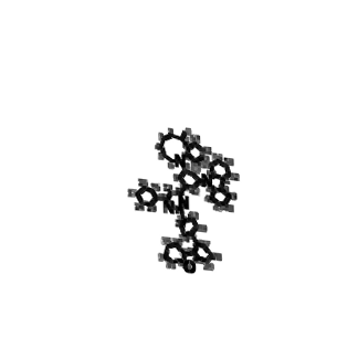 C=C1/C=C\C=C/CN(c2cc(-c3cc(-c4ccccc4)nc(-c4ccc(-c5cccc6oc7ccccc7c56)cc4)n3)cc(-n3c4ccccc4c4ccccc43)c2)c2ccccc21